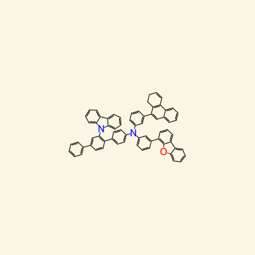 C1=Cc2c(c(-c3cccc(N(c4ccc(-c5ccc(-c6ccccc6)cc5-n5c6ccccc6c6ccccc65)cc4)c4cccc(-c5cccc6c5oc5ccccc56)c4)c3)cc3ccccc23)CC1